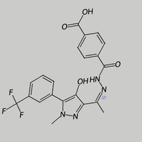 C/C(=N/NC(=O)c1ccc(C(=O)O)cc1)c1nn(C)c(-c2cccc(C(F)(F)F)c2)c1O